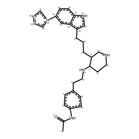 CC(=O)Nc1ccc(CCNC2CCNCC2CCCc2c[nH]c3ccc(-n4cnnc4)cc23)cc1